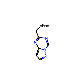 CCCCCCc1n[c]n2nccc2n1